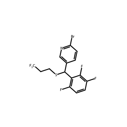 Fc1ccc(F)c(C(SCCC(F)(F)F)c2ccc(Br)nc2)c1F